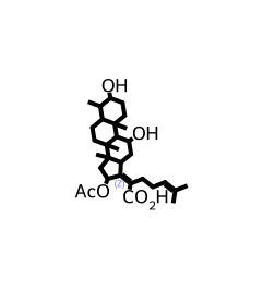 CC(=O)OC1CC2(C)C(CC(O)C3C4(C)CCC(O)C(C)C4CCC32C)/C1=C(\CCC=C(C)C)C(=O)O